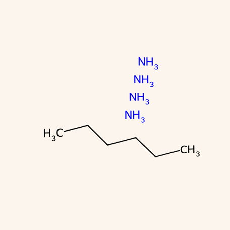 CCCCCC.N.N.N.N